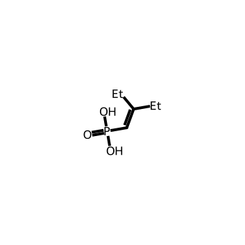 CCC(=CP(=O)(O)O)CC